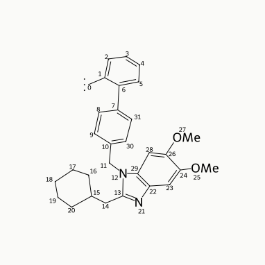 [C]c1ccccc1-c1ccc(Cn2c(CC3CCCCC3)nc3cc(OC)c(OC)cc32)cc1